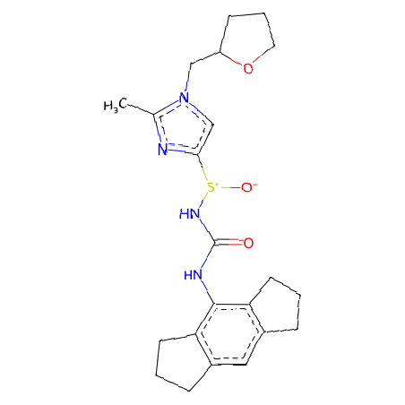 Cc1nc([S+]([O-])NC(=O)Nc2c3c(cc4c2CCC4)CCC3)cn1CC1CCCO1